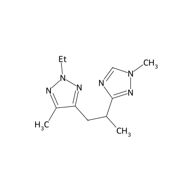 CCn1nc(C)c(CC(C)c2ncn(C)n2)n1